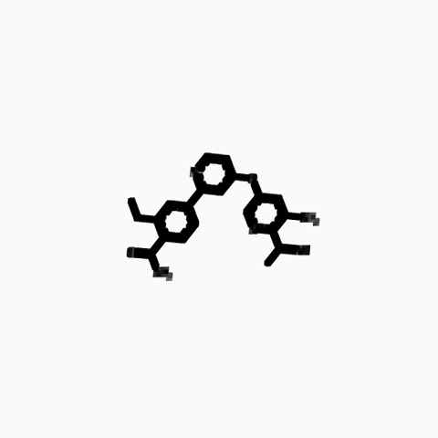 CCc1cc(-c2cc(Oc3cnc(C(C)=N)c(N)c3)ccn2)ccc1C(N)=O